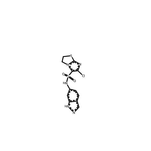 O=S(=O)(Nc1ccc2cn[nH]c2c1)c1c(Cl)nc2n1CCS2